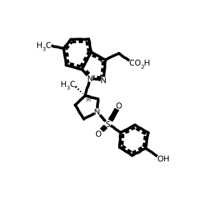 Cc1ccc2c(CC(=O)O)nn([C@]3(C)CCN(S(=O)(=O)c4ccc(O)cc4)C3)c2c1